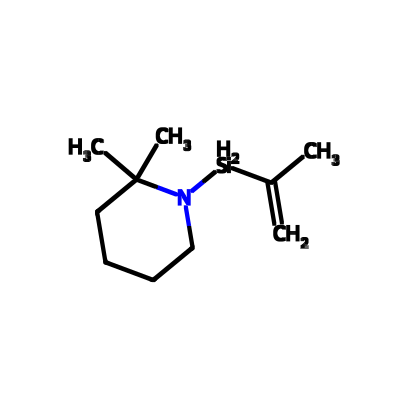 C=C(C)[SiH2]N1CCCCC1(C)C